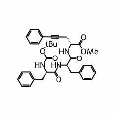 COC(=O)[C@@H](CC#Cc1ccccc1)NC(=O)[C@@H](Cc1ccccc1)NC(=O)[C@@H](Cc1ccccc1)NC(=O)OC(C)(C)C